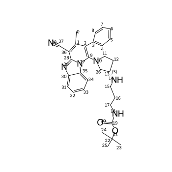 Cc1c(-c2ccccc2)c(N2CC[C@H](NCCCNC(=O)OC(C)(C)C)C2)n2c(nc3ccccc32)c1C#N